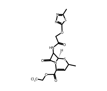 Cc1nnc(OCC(=O)NC2C(=O)N3C(C(=O)OCC(Cl)(Cl)Cl)=CC(C)S[C@H]23)s1